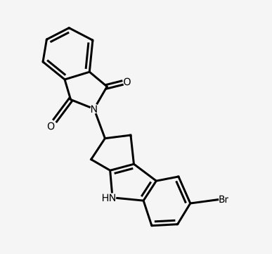 O=C1c2ccccc2C(=O)N1C1Cc2[nH]c3ccc(Br)cc3c2C1